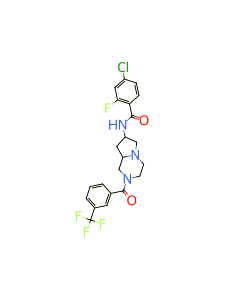 O=C(NC1CC2CN(C(=O)c3cccc(C(F)(F)F)c3)CCN2C1)c1ccc(Cl)cc1F